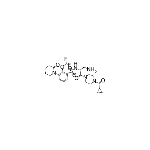 NC[C@H](NS(=O)(=O)c1cccc(N2CCCCC2=O)c1OC(F)F)C(=O)N1CCN(C(=O)C2CC2)CC1